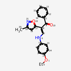 CCOc1ccc(NC=C(C(=O)c2ccccc2)c2cc(C)no2)cc1